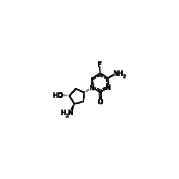 Nc1nc(=O)n([C@@H]2C[C@@H](N)[C@H](O)C2)cc1F